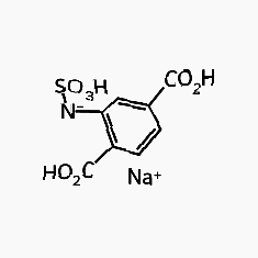 O=C(O)c1ccc(C(=O)O)c([N-]S(=O)(=O)O)c1.[Na+]